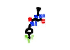 O=C(NCc1ccc(C(F)(F)F)cc1)c1cc(=O)[nH]c(C2CC2)n1